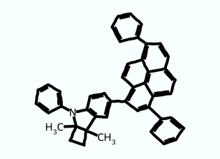 CC12CCC1(C)N(c1ccccc1)c1ccc(-c3cc(-c4ccccc4)c4ccc5ccc(-c6ccccc6)c6ccc3c4c56)cc12